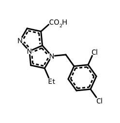 CCc1cn2ncc(C(=O)O)c2n1Cc1ccc(Cl)cc1Cl